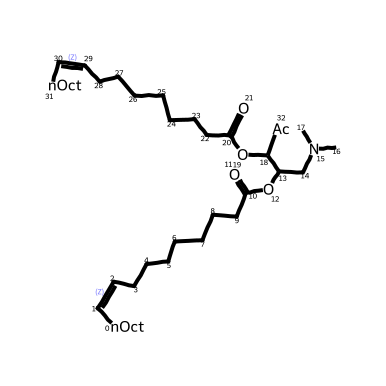 CCCCCCCC/C=C\CCCCCCCC(=O)OC(CN(C)C)C(OC(=O)CCCCCCC/C=C\CCCCCCCC)C(C)=O